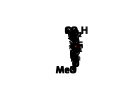 COCCOc1ccc(Oc2ccc(F)c3c2CC[C@H]3Oc2ccc3c(c2)OC[C@H]3CC(=O)O)cc1